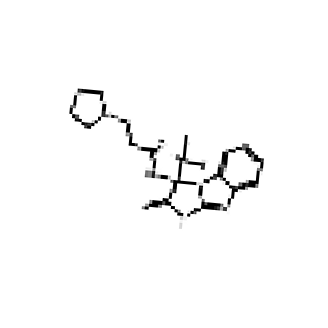 O=C(CCN1CCCC1)NC1(C(F)(F)F)C(=O)Nc2nc3ccccc3n21